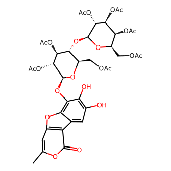 CC(=O)OC[C@H]1O[C@@H](O[C@H]2[C@H](OC(C)=O)[C@@H](OC(C)=O)[C@H](Oc3c(O)c(O)cc4c3oc3cc(C)oc(=O)c34)O[C@@H]2COC(C)=O)[C@H](OC(C)=O)[C@@H](OC(C)=O)[C@H]1OC(C)=O